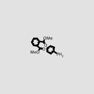 COC(=O)c1ccccc1C(=O)OC.Pc1ccccc1